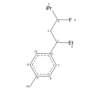 CCC(CC(F)C(C)C)c1ccc(C)cc1